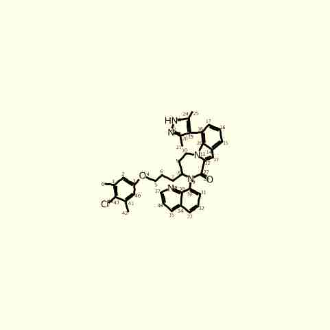 Cc1cc(OCCCC2CCn3c(cc4cccc(-c5c(C)n[nH]c5C)c43)C(=O)N2c2cccc3cccnc23)cc(C)c1Cl